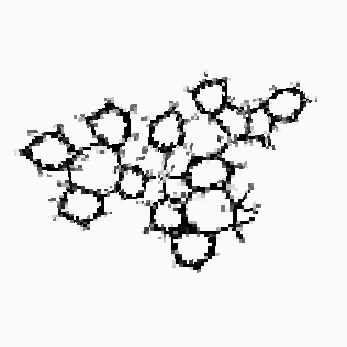 CC1(C)c2ccccc2Oc2c(cc(-n3c4ccccc4n4c5ccccc5nc34)cc2[Si](c2ccccc2)(c2ccccc2)c2ccc3c(c2)-c2ccccc2-c2ccccc2-c2ccccc2-3)C1(C)C